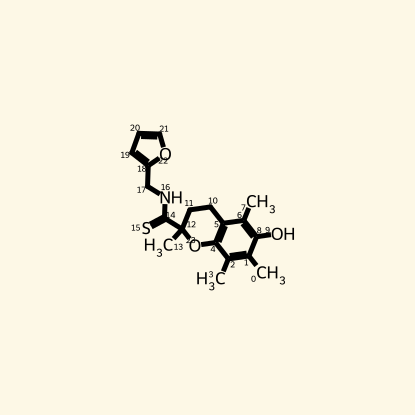 Cc1c(C)c2c(c(C)c1O)CCC(C)(C(=S)NCc1ccco1)O2